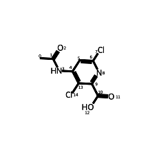 CC(=O)Nc1cc(Cl)nc(C(=O)O)c1Cl